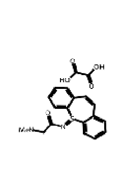 CNCC(=O)N=S1c2ccccc2C=Cc2ccccc21.O=C(O)C(=O)O